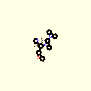 Cc1cccnc1-c1cc(-c2ccc3oc4ccccc4c3c2)cc(-n2c3ccccc3c3cc(-n4c5ccccc5c5ccccc54)ccc32)c1C